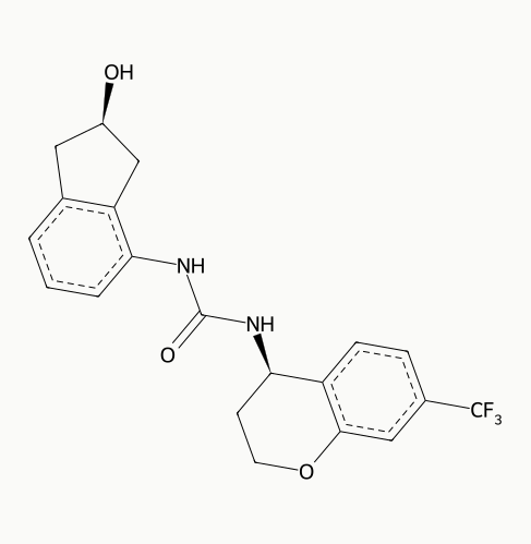 O=C(Nc1cccc2c1C[C@H](O)C2)N[C@@H]1CCOc2cc(C(F)(F)F)ccc21